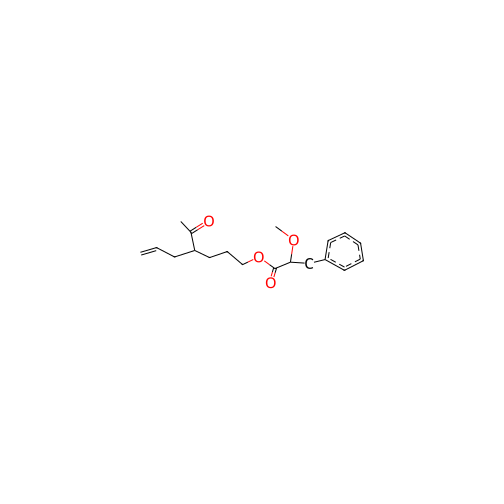 C=CCC(CCCOC(=O)C(Cc1ccccc1)OC)C(C)=O